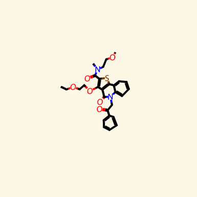 CCOCCOc1c(C(=O)N(C)CCOC)sc2c1c(=O)n(CC(=O)c1ccccc1)c1ccccc21